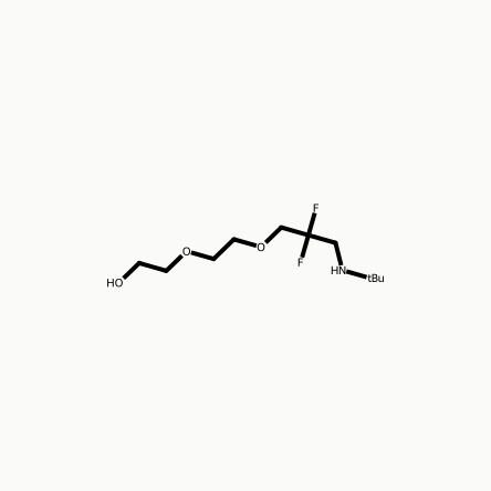 CC(C)(C)NCC(F)(F)COCCOCCO